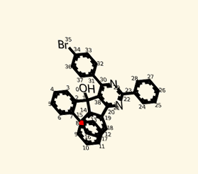 OC1(c2ccccc2-c2ccccc2)c2ccccc2-c2nc(-c3ccccc3)nc(-c3ccc(Br)cc3)c21